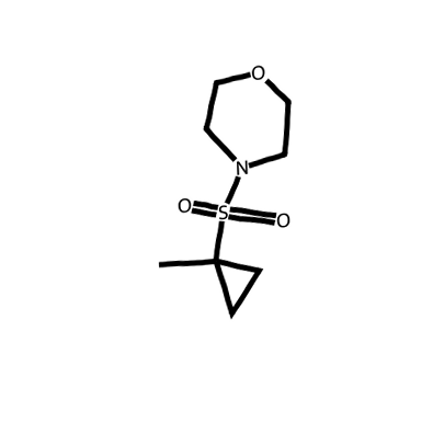 CC1(S(=O)(=O)N2CCOCC2)CC1